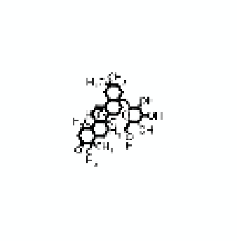 CC1(C)CC[C@]2(C[C@@H]3OC(CO)[C@H](O)C(O)C3O)CC[C@]3(C)C(=CCC4[C@@]5(C)CCC(=O)C(C)(C)C5CC[C@]43C)C2C1